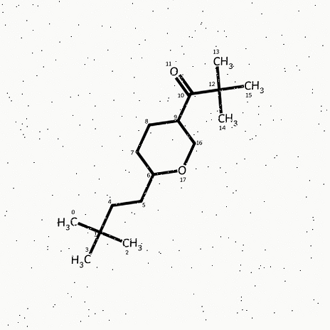 CC(C)(C)CCC1CCC(C(=O)C(C)(C)C)CO1